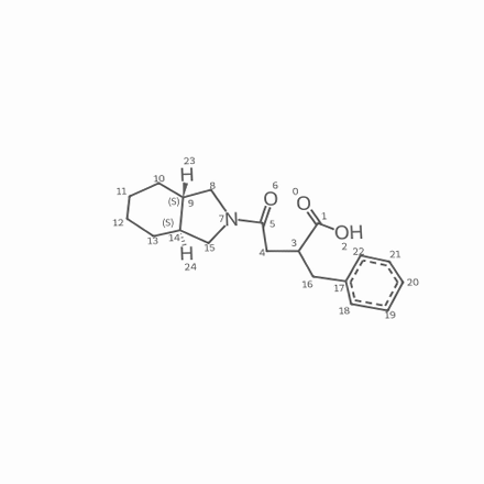 O=C(O)C(CC(=O)N1C[C@H]2CCCC[C@@H]2C1)Cc1ccccc1